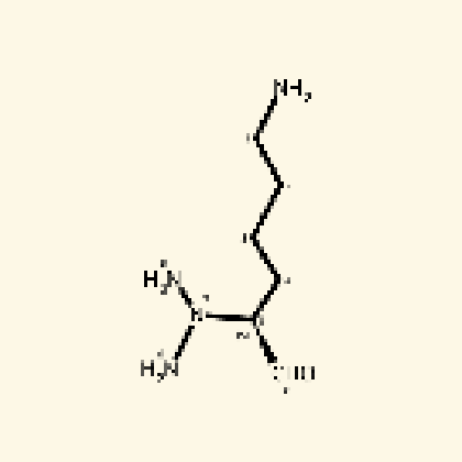 NCCCC[C@@H]([C]=O)N(N)N